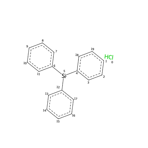 Cl.c1ccc([Si](c2ccccc2)c2ccccc2)cc1